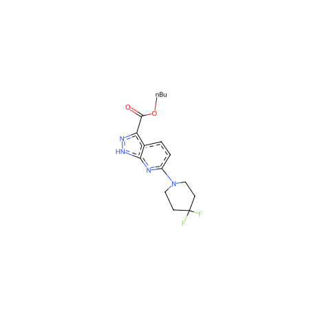 CCCCOC(=O)c1n[nH]c2nc(N3CCC(F)(F)CC3)ccc12